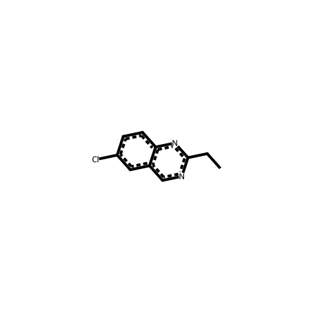 CCc1ncc2cc(Cl)ccc2n1